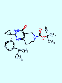 C=C(C)c1cccc(C2(c3nc4c(c(=O)[nH]3)CN(C(=O)OC(C)(C)C)CCC4)CC2)c1